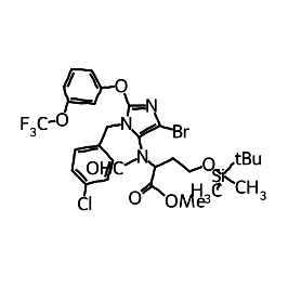 COC(=O)C(CCO[Si](C)(C)C(C)(C)C)N(C=O)c1c(Br)nc(Oc2cccc(OC(F)(F)F)c2)n1Cc1ccc(Cl)cc1